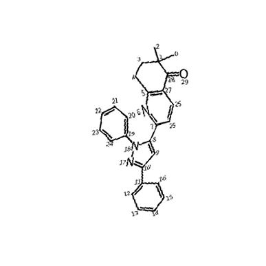 CC1(C)CCc2nc(-c3cc(-c4ccccc4)nn3-c3ccccc3)ccc2C1=O